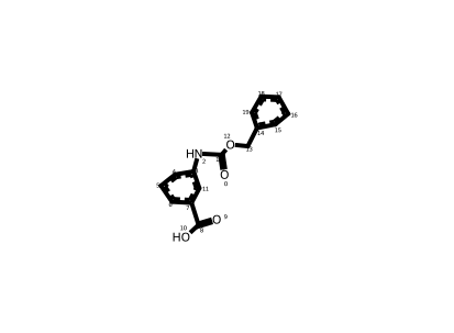 O=C(Nc1cccc(C(=O)O)c1)OCc1ccccc1